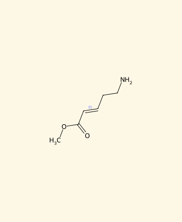 COC(=O)/C=C/CCN